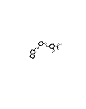 COc1cc(COc2cccc(OCc3ccc4ccccc4n3)c2)ccc1C(=O)O